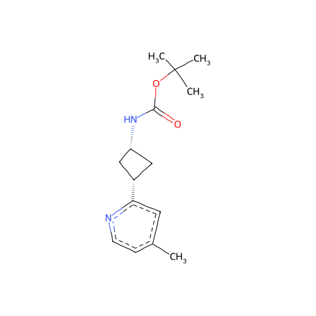 Cc1ccnc([C@H]2C[C@@H](NC(=O)OC(C)(C)C)C2)c1